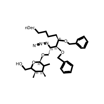 CCCCCCCCCCCCCC[C@@H](OCc1ccccc1)[C@@H](OCc1ccccc1)[C@H](CO[C@@H]1OC(CO)[C@H](C)[C@H](C)C1C)N=[N+]=[N-]